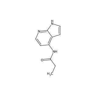 CCC(=O)Nc1ccnc2[nH]ccc12